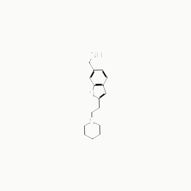 NCc1ccc2cc(CCN3CCCCC3)[nH]c2c1